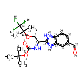 CC(C)(C)OC(=O)N[C@@H](COC(C)(C)C(F)(F)F)c1nc2cc(C=O)ccc2[nH]1